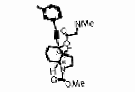 CNCC(=O)O[C@@]1(C#Cc2cccc(C)c2)CCC[C@@H]2[C@H]1CCN2C(=O)OC